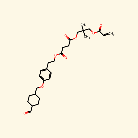 C=CC(=O)OCC(C)(C)COC(=O)CCC(=O)OCCc1ccc(OCC2CCC(C=O)CC2)cc1